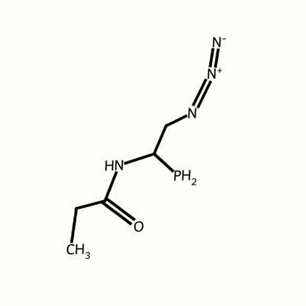 CCC(=O)NC(P)CN=[N+]=[N-]